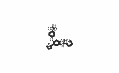 CCS(=O)(=O)c1ccc(Oc2cc3[nH]c(-c4ccccn4)nc3cc2C2CCCS2)cc1